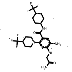 NC(=O)CNc1nc(N2CCC(C(F)(F)F)CC2)c(C(=O)NC2CCC(C(F)(F)F)CC2)cc1N